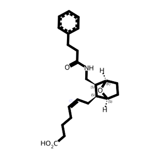 O=C(O)CCC/C=C\C[C@H]1[C@@H](CNC(=O)CCc2ccccc2)[C@H]2CC[C@@H]1O2